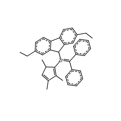 CCc1ccc2c(c1)[CH]([Zr]([C]1=C(C)C(C)=CC1C)=[C](c1ccccc1)c1ccccc1)c1cc(CC)ccc1-2